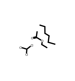 CCCCCC.CCOC(C)=O.ClC(Cl)Cl